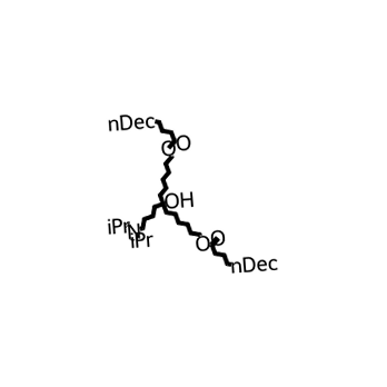 CCCCCCCCCCCCCC(=O)OCCCCCCC(O)(CCCCCCOC(=O)CCCCCCCCCCCCC)CCCCN(C(C)C)C(C)C